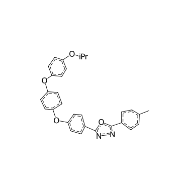 Cc1ccc(-c2nnc(-c3ccc(Oc4ccc(Oc5ccc(OC(C)C)cc5)cc4)cc3)o2)cc1